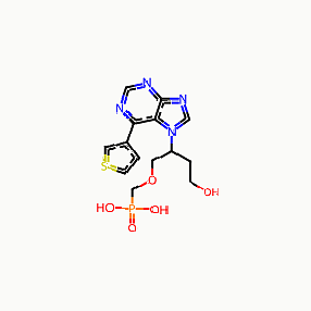 O=P(O)(O)COCC(CCO)n1cnc2ncnc(-c3ccsc3)c21